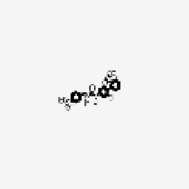 CC[S+]([O-])c1ccc(CNC(=O)Nc2cc(Cl)c(-c3ccccc3OC(F)(F)F)c(Cl)c2)cc1